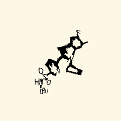 Cc1cc2c(cc1F)cc(-c1ccc(S(=O)(=O)NC(C)(C)C)cn1)n2C1CCC1